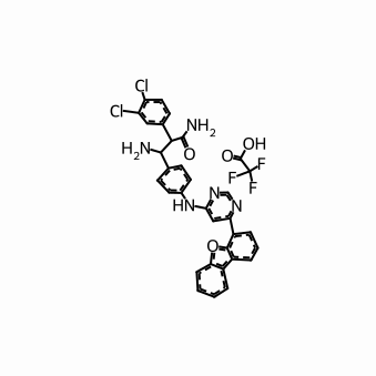 NC(=O)C(c1ccc(Cl)c(Cl)c1)C(N)c1ccc(Nc2cc(-c3cccc4c3oc3ccccc34)ncn2)cc1.O=C(O)C(F)(F)F